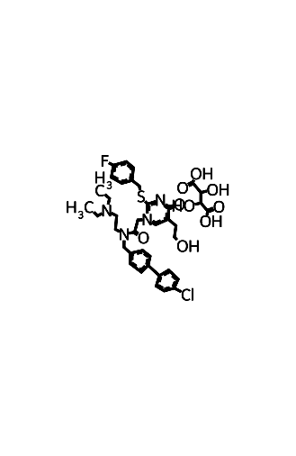 CCN(CC)CCN(Cc1ccc(-c2ccc(Cl)cc2)cc1)C(=O)Cn1cc(CCO)c(=O)nc1SCc1ccc(F)cc1.O=C(O)C(O)C(O)C(=O)O